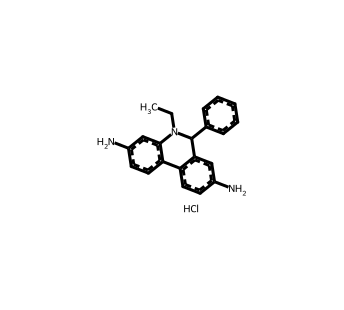 CCN1c2cc(N)ccc2-c2ccc(N)cc2C1c1ccccc1.Cl